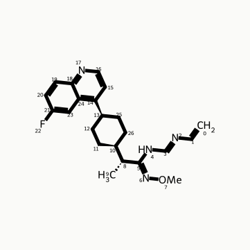 C=C/N=C/N/C(=N\OC)[C@H](C)[C@H]1CC[C@@H](c2ccnc3ccc(F)cc32)CC1